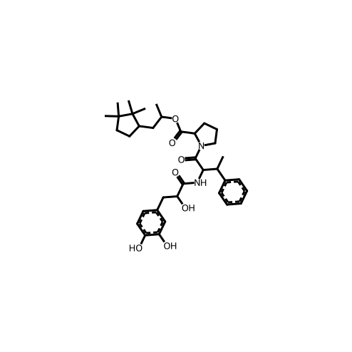 CC(CC1CCC(C)(C)C1(C)C)OC(=O)C1CCCN1C(=O)C(NC(=O)C(O)Cc1ccc(O)c(O)c1)C(C)c1ccccc1